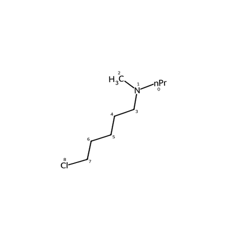 CCCN(C)CCCCCCl